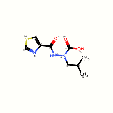 CC(C)CN(NC(=O)c1cscn1)C(=O)O